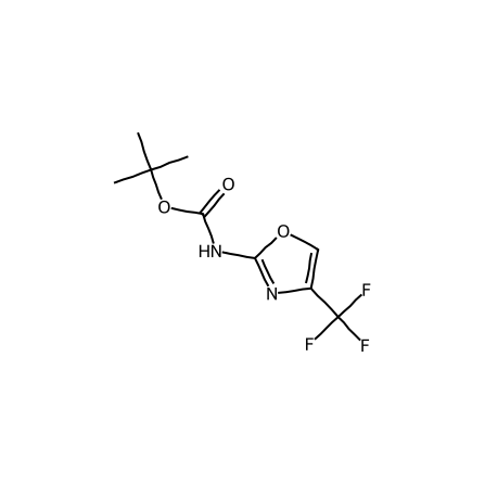 CC(C)(C)OC(=O)Nc1nc(C(F)(F)F)co1